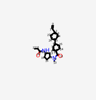 C#Cc1ccc(-c2ccc(C(=O)N(C)[C@@H]3CC[C@H](NC(=O)CC)C3)cc2)cc1